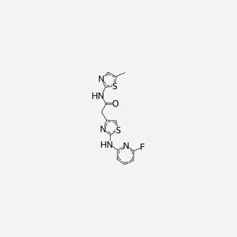 Cc1cnc(NC(=O)Cc2csc(Nc3cccc(F)n3)n2)s1